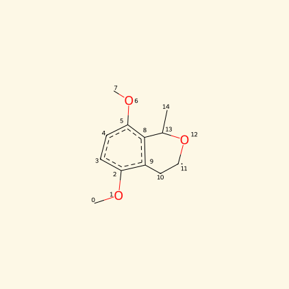 COc1ccc(OC)c2c1C[CH]OC2C